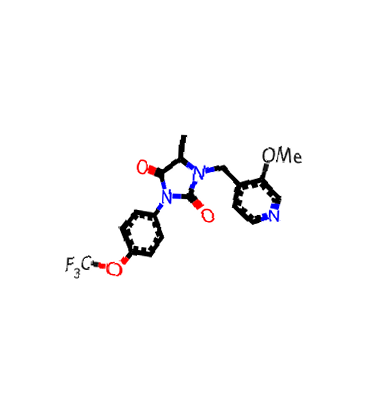 COc1cnccc1CN1C(=O)N(c2ccc(OC(F)(F)F)cc2)C(=O)C1C